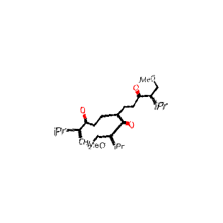 C=C(C(=O)CCC(CCC(=O)C(COC)C(C)C)C(=O)C(COC)C(C)C)C(C)C